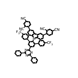 N#Cc1ccc(-c2ccc3c(c2)c2cc(-c4ccc(C#N)cc4C#N)ccc2n3-c2c(-c3ccc(C(F)(F)F)cc3)cc(-c3nc(-c4ccccc4)nc(-c4ccccc4)n3)cc2-c2ccc(C(F)(F)F)cc2)c(C#N)c1